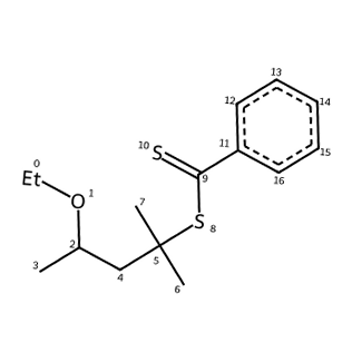 CCOC(C)CC(C)(C)SC(=S)c1ccccc1